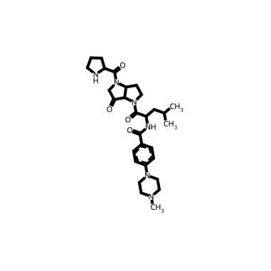 CC(C)CC(NC(=O)c1ccc(N2CCN(C)CC2)cc1)C(=O)N1CCC2C1C(=O)CN2C(=O)C1CCCN1